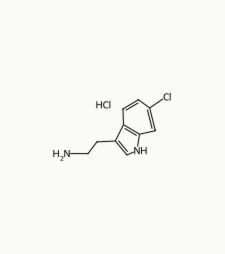 Cl.NCCc1c[nH]c2cc(Cl)ccc12